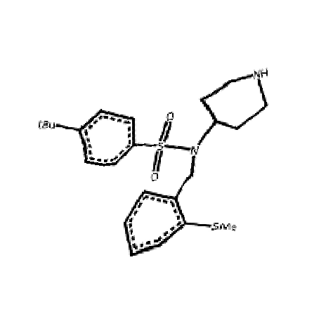 CSc1ccccc1CN(C1CCNCC1)S(=O)(=O)c1ccc(C(C)(C)C)cc1